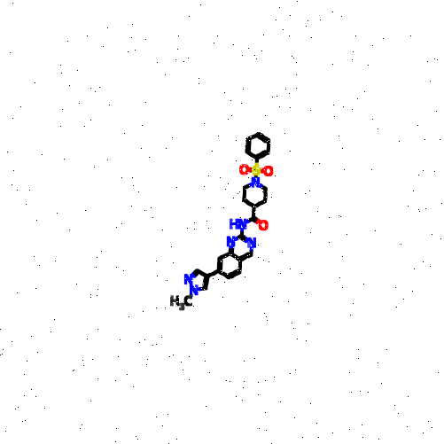 Cn1cc(-c2ccc3cnc(NC(=O)C4CCN(S(=O)(=O)c5ccccc5)CC4)nc3c2)cn1